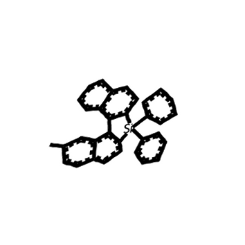 Cc1ccc2ccc3c(c2c1)-c1c(ccc2ccccc12)[Si]3(c1ccccc1)c1ccccc1